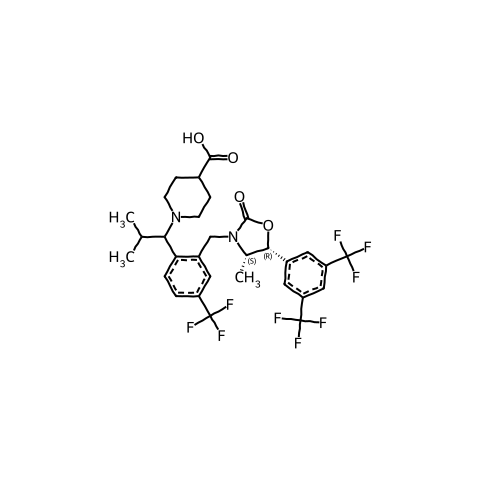 CC(C)C(c1ccc(C(F)(F)F)cc1CN1C(=O)O[C@H](c2cc(C(F)(F)F)cc(C(F)(F)F)c2)[C@@H]1C)N1CCC(C(=O)O)CC1